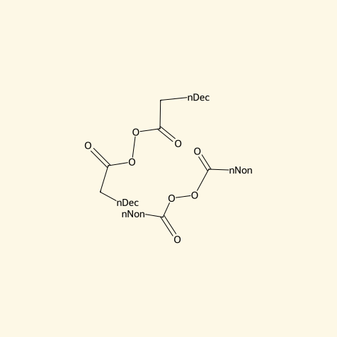 CCCCCCCCCC(=O)OOC(=O)CCCCCCCCC.CCCCCCCCCCCC(=O)OOC(=O)CCCCCCCCCCC